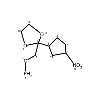 O=[N+]([O-])C1CCC(C2(COP)OCCO2)C1